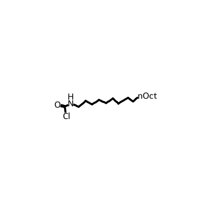 CCCCCCCCCCCCCCCCCNC(=O)Cl